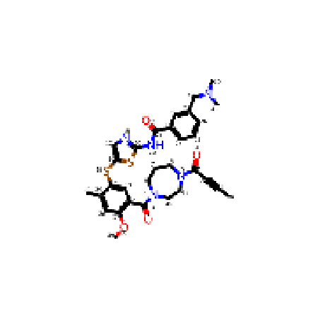 CC#CC(=O)N1CCCN(C(=O)c2cc(Sc3cnc(NC(=O)c4cccc(CN(C)C)c4)s3)c(C)cc2OC)CC1